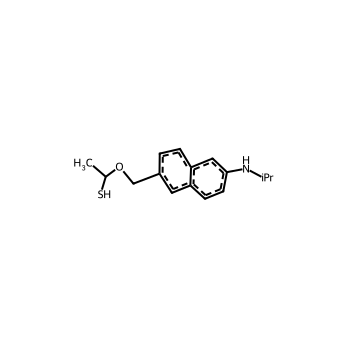 CC(C)Nc1ccc2cc(COC(C)S)ccc2c1